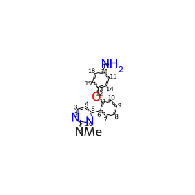 CNc1nccc(-c2ccccc2Oc2ccc(N)cc2)n1